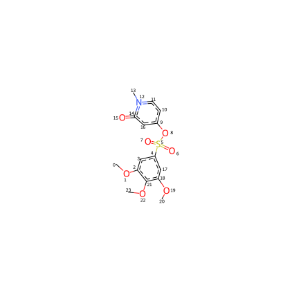 COc1cc(S(=O)(=O)Oc2ccn(C)c(=O)c2)cc(OC)c1OC